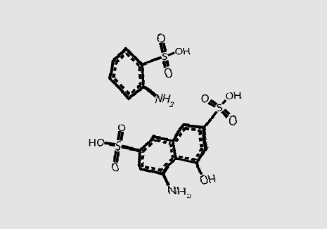 Nc1cc(S(=O)(=O)O)cc2cc(S(=O)(=O)O)cc(O)c12.Nc1ccccc1S(=O)(=O)O